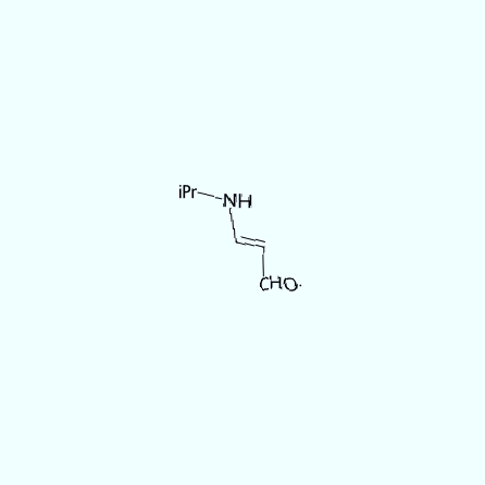 CC(C)NC=C[C]=O